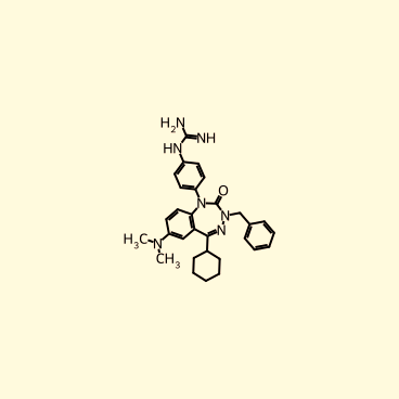 CN(C)c1ccc2c(c1)C(C1CCCCC1)=NN(Cc1ccccc1)C(=O)N2c1ccc(NC(=N)N)cc1